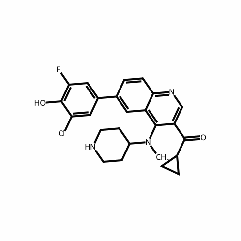 CN(c1c(C(=O)C2CC2)cnc2ccc(-c3cc(F)c(O)c(Cl)c3)cc12)C1CCNCC1